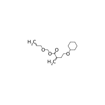 C=CCOCOC(=O)C(=C)CCOC1CCCCC1